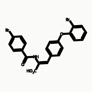 O=C(O)C(=Cc1ccc(Oc2ccccc2Br)cc1)NC(=O)c1ccc(Br)cc1